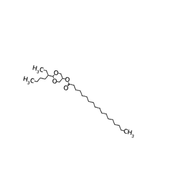 CCCCCCCCCCCCCCCCCC(=O)OC1COC(C(CC)CCCC)OC1